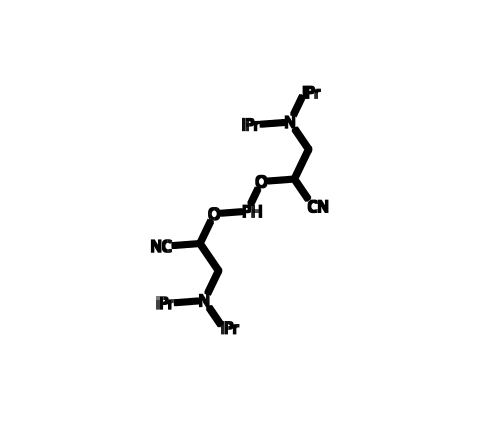 CC(C)N(CC(C#N)OPOC(C#N)CN(C(C)C)C(C)C)C(C)C